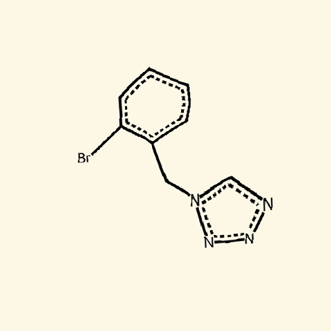 Brc1ccccc1Cn1cnnn1